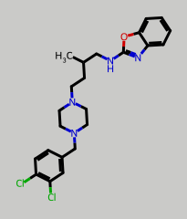 CC(CCN1CCN(Cc2ccc(Cl)c(Cl)c2)CC1)CNc1nc2ccccc2o1